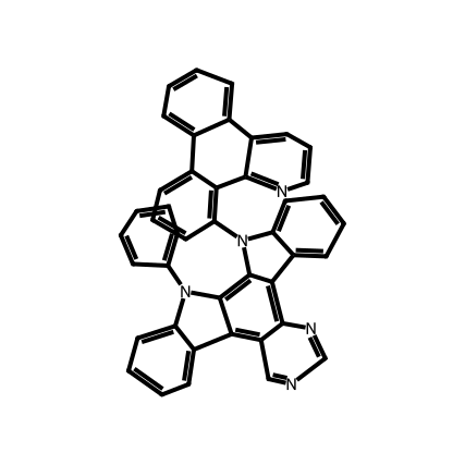 c1ccc(-n2c3ccccc3c3c4cncnc4c4c5ccccc5n(-c5cccc6c7ccccc7c7cccnc7c56)c4c32)cc1